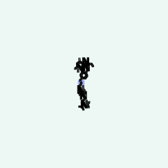 CCc1nc2c(C)cc(C)nc2n1Cc1ccc(/C=C/CN2CCN(CCN(C(C)C)C(C)C)CC2)cc1